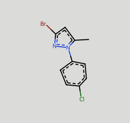 Cc1cc(Br)nn1-c1ccc(Cl)cc1